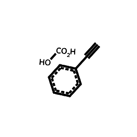 C#Cc1ccccc1.O=C(O)O